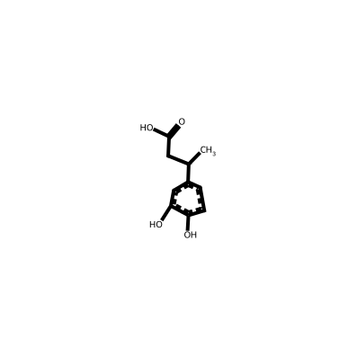 C[C](CC(=O)O)c1ccc(O)c(O)c1